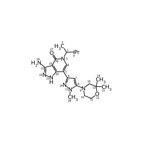 CC(C)C(C)n1cc(-c2cc(N3CCOC(C)(C)C3)n(C)n2)c2[nH]nc(N)c2c1=O